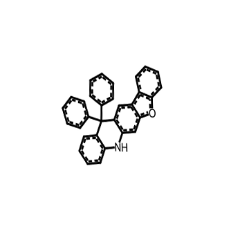 c1ccc(C2(c3ccccc3)c3ccccc3Nc3cc4oc5ccccc5c4cc32)cc1